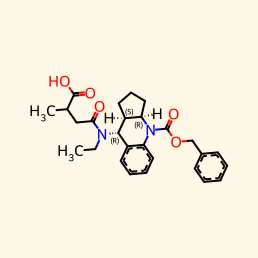 CCN(C(=O)CC(C)C(=O)O)[C@H]1c2ccccc2N(C(=O)OCc2ccccc2)[C@@H]2CCC[C@@H]21